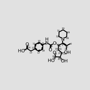 CC(C)=C([C@@H](OC(=O)Nc1ccc(CC(=O)O)cc1)[C@H]1O[C@H](O)[C@H](O)[C@H]1O)N1CCCCC1